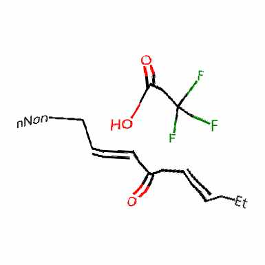 CCC=CC(=O)C=CCCCCCCCCCC.O=C(O)C(F)(F)F